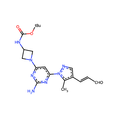 Cc1c(C=CC=O)cnn1-c1cc(N2CC(NC(=O)OC(C)(C)C)C2)nc(N)n1